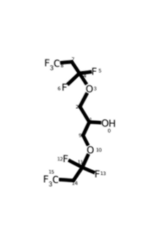 OC(COC(F)(F)CC(F)(F)F)COC(F)(F)CC(F)(F)F